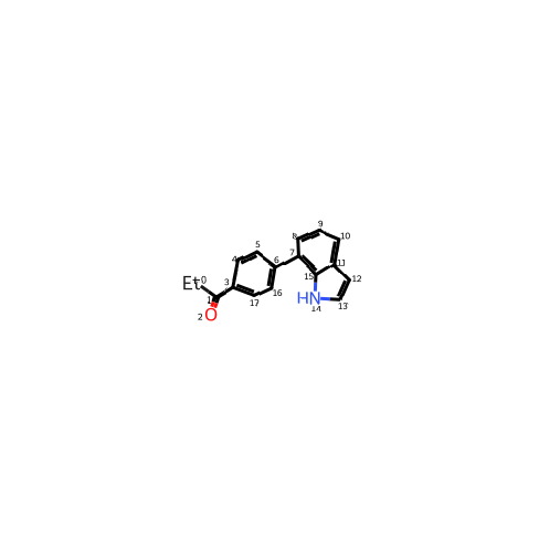 CCC(=O)c1ccc(-c2cccc3cc[nH]c23)cc1